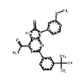 COc1cccc(-n2c(=O)[nH]c3c(C(N)=O)nc(-c4cccc(C(C)(C)O)c4)nc32)c1